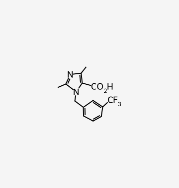 Cc1nc(C)n(Cc2cccc(C(F)(F)F)c2)c1C(=O)O